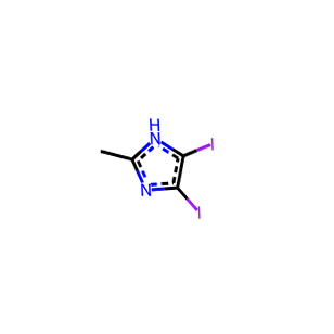 Cc1nc(I)c(I)[nH]1